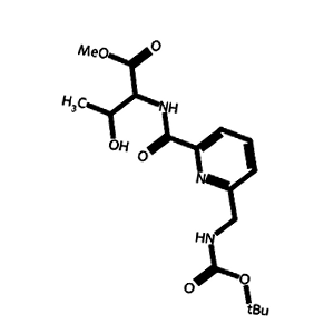 COC(=O)C(NC(=O)c1cccc(CNC(=O)OC(C)(C)C)n1)C(C)O